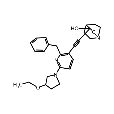 CCOC1CCN(c2ccc(C#CC3(O)CN4CCC3CC4)c(Cc3ccccc3)n2)C1